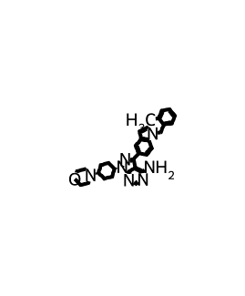 Cc1ccccc1Cn1ccc2cc(-c3nn([C@H]4CC[C@H](N5CCOCC5)CC4)c4ncnc(N)c34)ccc21